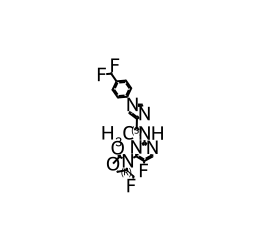 C[C@H](Nc1ncc(F)c(N2C(=O)OC[C@@H]2CF)n1)c1cn(-c2ccc(C(F)F)cc2)cn1